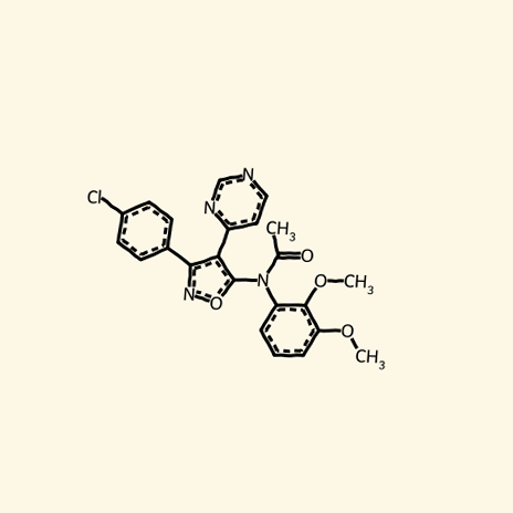 COc1cccc(N(C(C)=O)c2onc(-c3ccc(Cl)cc3)c2-c2ccncn2)c1OC